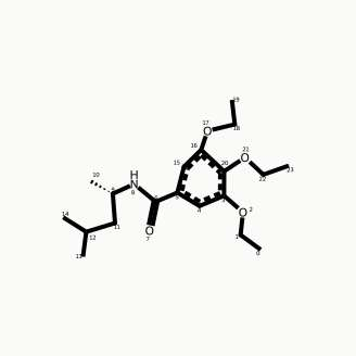 CCOc1cc(C(=O)N[C@@H](C)CC(C)C)cc(OCC)c1OCC